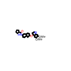 COc1cc2nccc(Oc3ccc4cc(NC(=O)C5CCCC5)ccc4c3)c2cc1OC